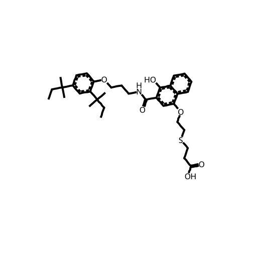 CCC(C)(C)c1ccc(OCCCNC(=O)c2cc(OCCSCCC(=O)O)c3ccccc3c2O)c(C(C)(C)CC)c1